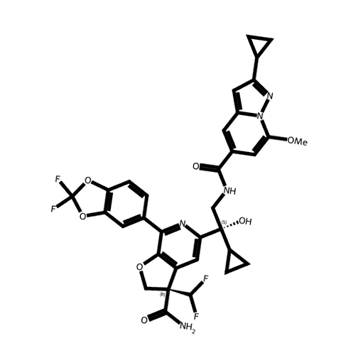 COc1cc(C(=O)NC[C@](O)(c2cc3c(c(-c4ccc5c(c4)OC(F)(F)O5)n2)OC[C@]3(C(N)=O)C(F)F)C2CC2)cc2cc(C3CC3)nn12